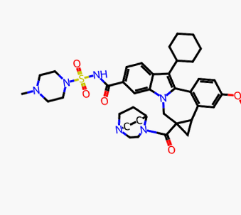 COc1ccc2c(c1)C1CC1(C(=O)N1CCN3CCC1CC3)Cn1c-2c(C2CCCCC2)c2ccc(C(=O)NS(=O)(=O)N3CCN(C)CC3)cc21